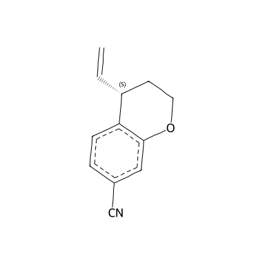 C=C[C@@H]1CCOc2cc(C#N)ccc21